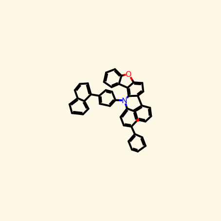 c1ccc(-c2ccc(N(c3ccc(-c4cccc5ccccc45)cc3)c3c(-c4ccccc4)ccc4oc5ccccc5c34)cc2)cc1